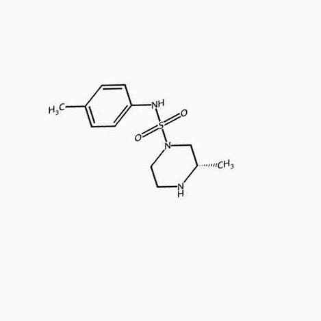 Cc1ccc(NS(=O)(=O)N2CCN[C@@H](C)C2)cc1